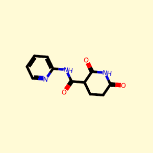 O=C1CCC(C(=O)Nc2ccccn2)C(=O)N1